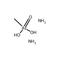 C[As](=O)(O)O.N.N